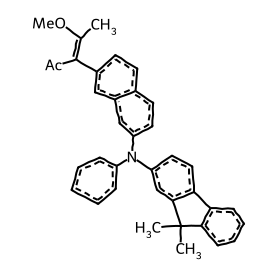 CO/C(C)=C(\C(C)=O)c1ccc2ccc(N(c3ccccc3)c3ccc4c(c3)C(C)(C)c3ccccc3-4)cc2c1